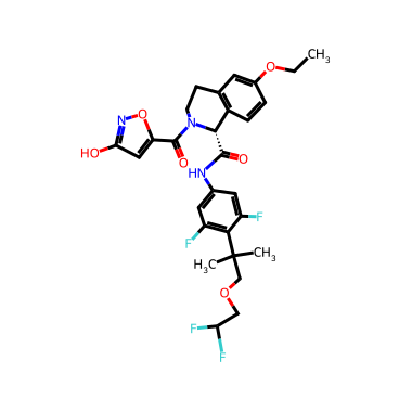 CCOc1ccc2c(c1)CCN(C(=O)c1cc(O)no1)[C@H]2C(=O)Nc1cc(F)c(C(C)(C)COCC(F)F)c(F)c1